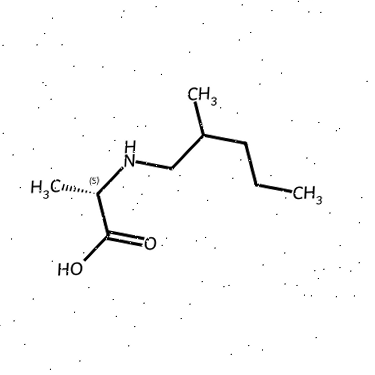 CCCC(C)CN[C@@H](C)C(=O)O